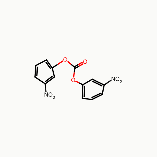 O=C(Oc1cccc([N+](=O)[O-])c1)Oc1cccc([N+](=O)[O-])c1